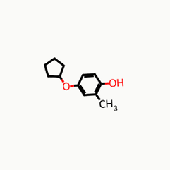 Cc1cc(OC2CCCC2)ccc1O